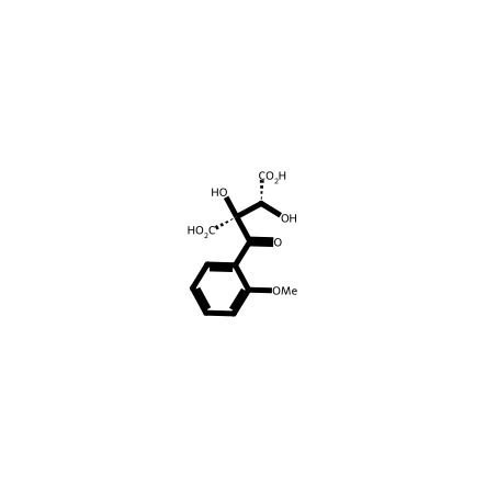 COc1ccccc1C(=O)[C@](O)(C(=O)O)[C@@H](O)C(=O)O